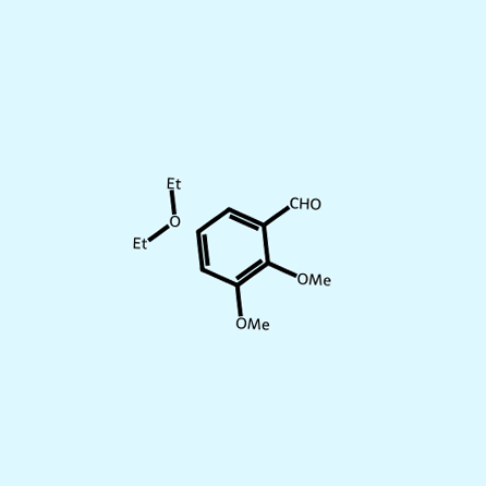 CCOCC.COc1cccc(C=O)c1OC